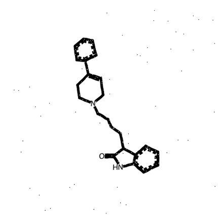 O=C1Nc2ccccc2C1CCCCN1CC=C(c2ccccc2)CC1